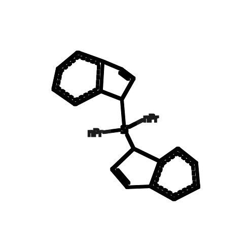 CCC[Si](CCC)(C1C=Cc2ccccc21)C1C=Cc2ccccc21